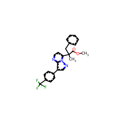 COC(=O)C(C)(Cc1ccccc1)c1ccnc2c(-c3ccc(C(F)(F)F)cc3)cnn12